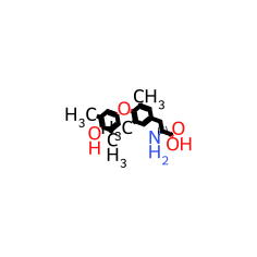 Cc1cc(Oc2c(C)cc(C[C@H](N)C(=O)O)cc2C)cc(C)c1O